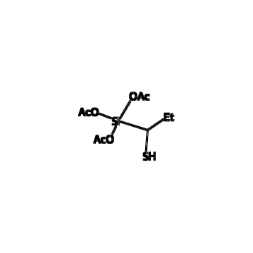 CCC(S)[Si](OC(C)=O)(OC(C)=O)OC(C)=O